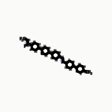 CC1CCC(C2CCC(/C=C/C3CCC(C4CCC(C5CCC(/C(F)=C/C(F)(F)F)CC5)OC4)CC3)CC2)CC1